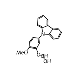 COc1ccc(-n2c3ccccc3c3ccccc32)cc1OBO